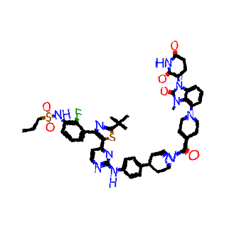 CCCS(=O)(=O)Nc1cccc(-c2nc(C(C)(C)C)sc2-c2ccnc(Nc3ccc(C4CCN(C(=O)C5CCN(c6cccc7c6n(C)c(=O)n7[C@@H]6CCC(=O)NC6=O)CC5)CC4)cc3)n2)c1F